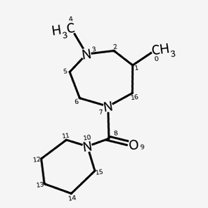 CC1CN(C)CCN(C(=O)N2CCCCC2)C1